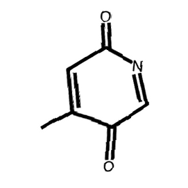 CC1=CC(=O)N=CC1=O